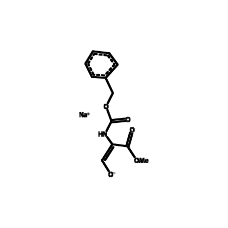 COC(=O)C(=C[O-])NC(=O)OCc1ccccc1.[Na+]